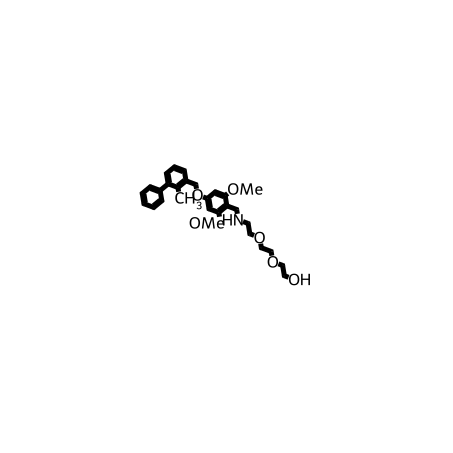 COc1cc(OCc2cccc(-c3ccccc3)c2C)cc(OC)c1CNCCOCCOCCO